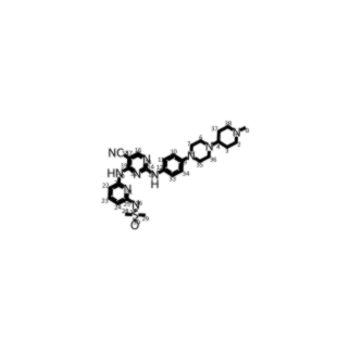 CN1CCC(N2CCN(c3ccc(Nc4ncc(C#N)c(Nc5cccc(N=S(C)(C)=O)n5)n4)cc3)CC2)CC1